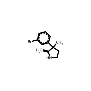 C=C1NCCC1(C)c1cccc(Br)c1